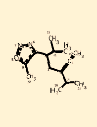 C=C=C(CC(c1nnoc1C)C(C)C)C(C)C